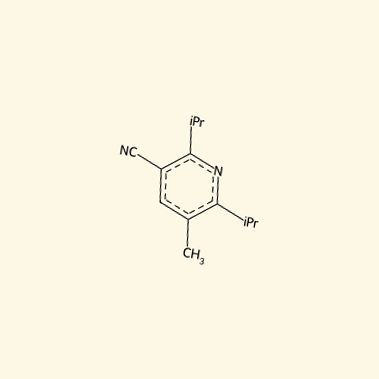 Cc1cc(C#N)c(C(C)C)nc1C(C)C